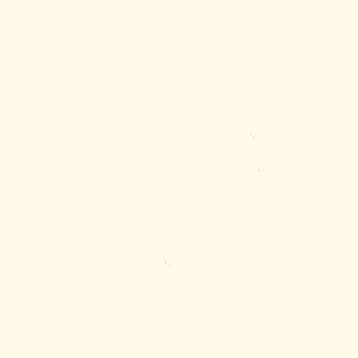 CC(C)c1ccc(OCCc2ccc(CN3CCN(C(=O)/C=C/c4ccc(Oc5ccc(OCc6ccccc6Cl)cn5)cc4)CC3)cc2)cc1